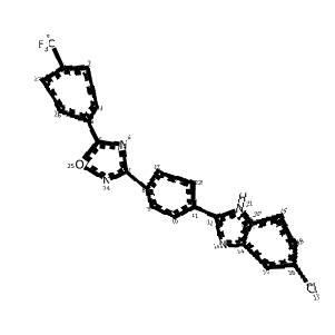 FC(F)(F)c1ccc(-c2nc(-c3ccc(-c4nc5cc(Cl)ccc5[nH]4)cc3)no2)cc1